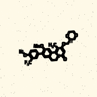 CCOc1ccc(-c2cc3c(cc2OC)-c2c(C)c(OC[C@@H]4COCCO4)cc(=O)n2CC3)cc1C(F)(F)F